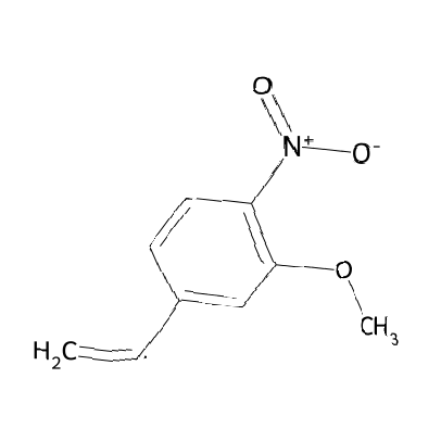 C=[C]c1ccc([N+](=O)[O-])c(OC)c1